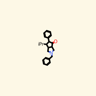 CC(C)C1C(c2ccccc2)C(=O)C2CN(Cc3ccccc3)CC21